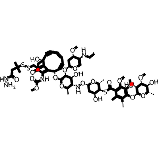 CCN[C@H]1CO[C@@H](O[C@H]2[C@H](O[C@H]3C#CC=CC#C[C@]4(O)CC(=O)C(NC(=O)OC)=C3C4=CCSSC(C)(C)CC(=O)NN)O[C@H](C)[C@@H](NO[C@H]3C[C@H](O)[C@H](SC(=O)c4c(C)c(I)c(O[C@@H]5O[C@@H](C)[C@H](O)[C@@H](OC)[C@H]5O)c(OC)c4OC)[C@@H](C)O3)[C@@H]2O)C[C@@H]1OC